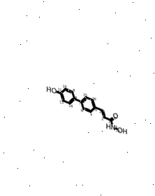 O=C(C=Cc1ccc(-c2ccc(O)cc2)cc1)NO